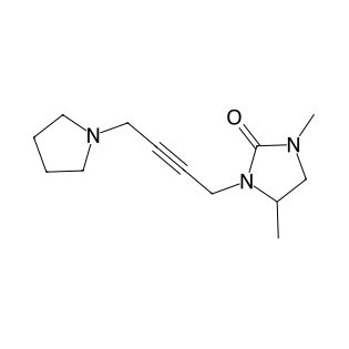 CC1CN(C)C(=O)N1CC#CCN1CCCC1